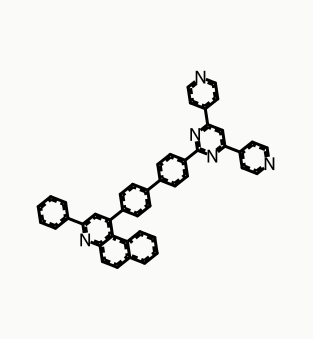 c1ccc(-c2cc(-c3ccc(-c4ccc(-c5nc(-c6ccncc6)cc(-c6ccncc6)n5)cc4)cc3)c3c(ccc4ccccc43)n2)cc1